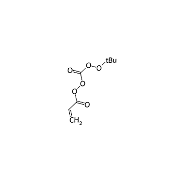 C=CC(=O)OOC(=O)OOC(C)(C)C